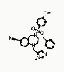 COc1ccc(S(=O)(=O)N2Cc3cc(C#N)ccc3N(Cc3cncn3C)C[C@H]2Cc2ccccc2)cc1